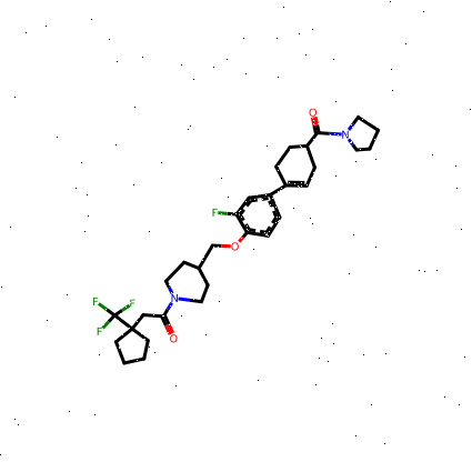 O=C(CC1(C(F)(F)F)CCCC1)N1CCC(COc2ccc(C3=CCC(C(=O)N4CCCC4)CC3)cc2F)CC1